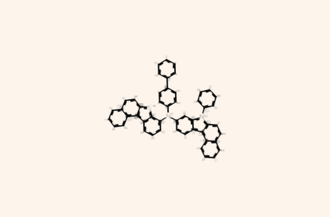 c1ccc(-c2ccc(N(c3ccc4c5c6ccccc6ccc5n(-c5ccccc5)c4c3)c3cccc4c3sc3ccc5ccccc5c34)cc2)cc1